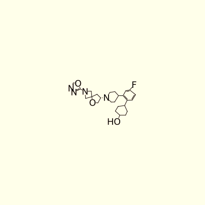 OC1CCC(c2ccc(F)cc2C2CCN([C@@H]3COC4(C3)CN(c3nnco3)C4)CC2)CC1